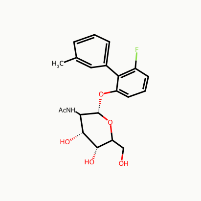 CC(=O)NC1[C@H](Oc2cccc(F)c2-c2cccc(C)c2)OC(CO)[C@H](O)[C@@H]1O